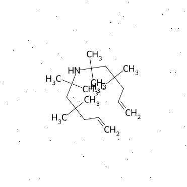 C=CCC(C)(C)CC(C)(C)NC(C)(C)CC(C)(C)CC=C